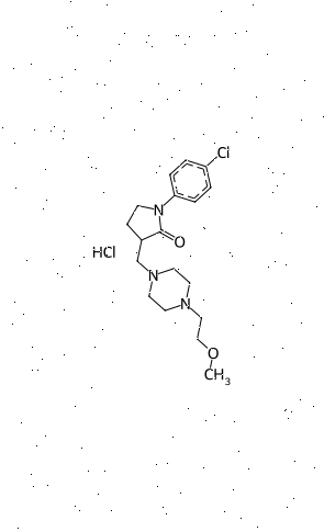 COCCN1CCN(CC2CCN(c3ccc(Cl)cc3)C2=O)CC1.Cl